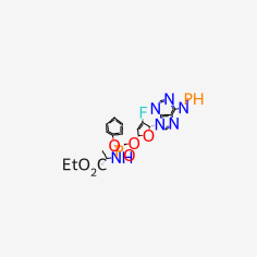 CCOC(=O)[C@H](C)N[P@](=O)(CO[C@@H]1C=C(F)[C@H](n2cnc3c(N=P)ncnc32)O1)Oc1ccccc1